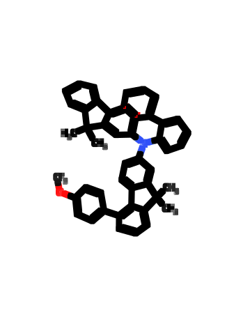 CC1(C)c2ccccc2-c2ccc(N(c3ccc4c(c3)C(C)(C)c3cccc(-c5ccc(OC(F)(F)F)cc5)c3-4)c3ccccc3-c3ccccc3)cc21